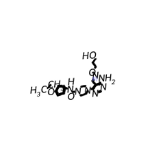 CC(C)Oc1ccc(NC(=O)N2CCN(c3ncnc(N)c3/C=N/OCCCO)CC2)cc1